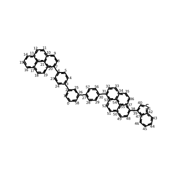 c1cc(-c2ccc(-c3ccc4ccc5cccc6ccc3c4c56)cc2)cc(-c2ccc(-c3ccc4ccc5c(-c6csc7ccccc67)ccc6ccc3c4c65)cc2)c1